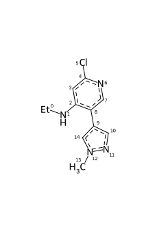 CCNc1cc(Cl)ncc1-c1cnn(C)c1